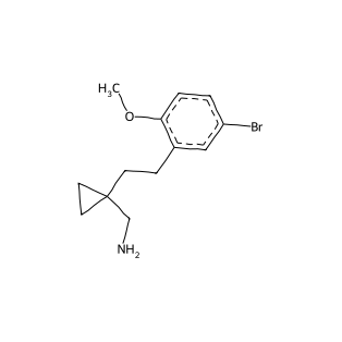 COc1ccc(Br)cc1CCC1(CN)CC1